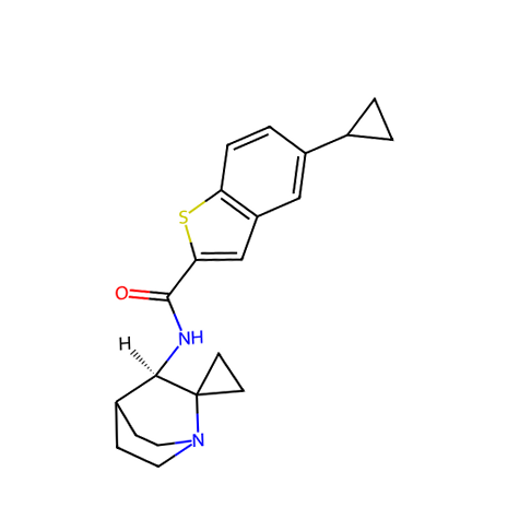 O=C(N[C@@H]1C2CCN(CC2)C12CC2)c1cc2cc(C3CC3)ccc2s1